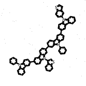 c1ccc(-n2c3ccccc3c3cc(-c4ccc5c(c4)c4ccc(-c6ccc7c8cc(-c9ccc%10c(c9)c9ccccc9n%10-c9ccc%10sccc%10c9)ccc8n(-c8ccccc8)c7c6)cc4n5-c4csc5ccccc45)ccc32)cc1